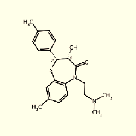 Cc1ccc([C@H]2Sc3cc(C)ccc3N(CCN(C)C)C(=O)[C@H]2O)cc1